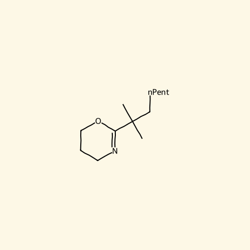 CCCCCCC(C)(C)C1=NCCCO1